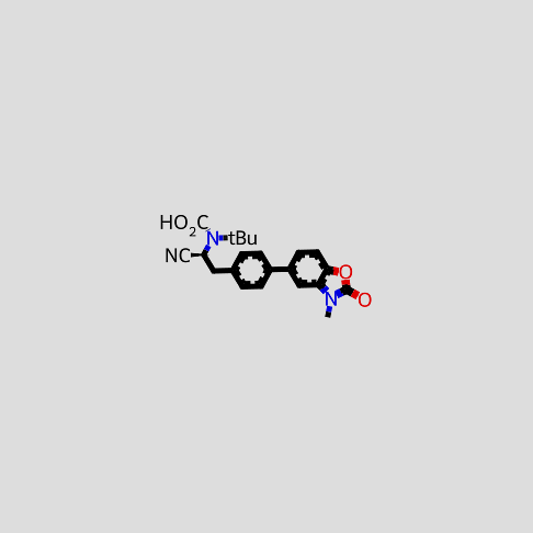 Cn1c(=O)oc2ccc(-c3ccc(C[C@@H](C#N)N(C(=O)O)C(C)(C)C)cc3)cc21